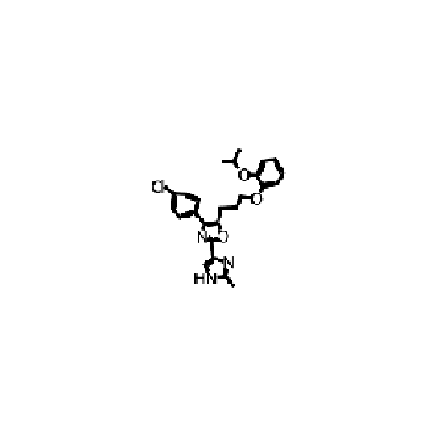 Cc1nc(-c2nc(-c3ccc(Cl)cc3)c(CCCOc3ccccc3OC(C)C)o2)c[nH]1